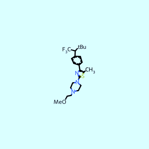 COCCN1CCN(c2nc(-c3ccc(C(C(C)(C)C)C(F)(F)F)cc3)c(C)s2)CC1